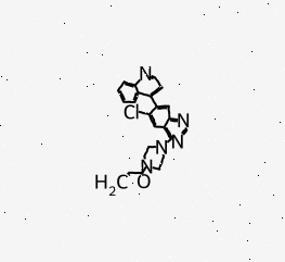 C=CC(=O)N1CCN(c2ncnc3cc(-c4ccnc5ccccc45)c(Cl)cc23)CC1